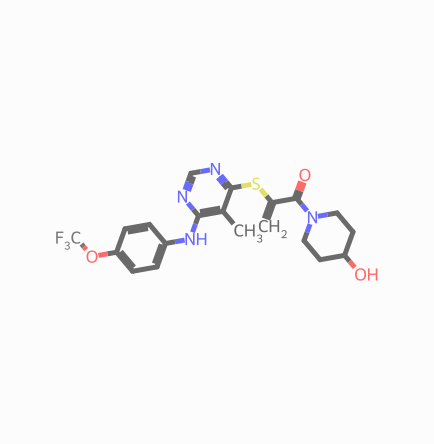 C=C(Sc1ncnc(Nc2ccc(OC(F)(F)F)cc2)c1C)C(=O)N1CCC(O)CC1